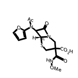 CONC(=O)C1(C(=O)O)CS[C@@H]2C(N(C(C)=O)c3ccco3)C(=O)N2C1